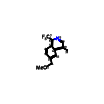 COCc1ccc2c(C(F)(F)F)ncc(C)c2c1